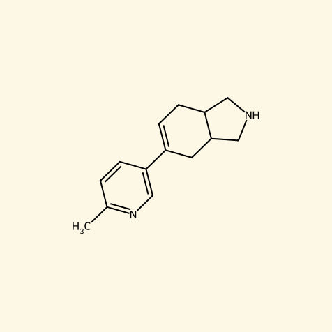 Cc1ccc(C2=CCC3CNCC3C2)cn1